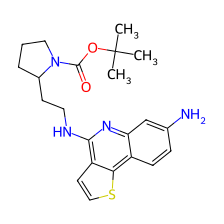 CC(C)(C)OC(=O)N1CCCC1CCNc1nc2cc(N)ccc2c2sccc12